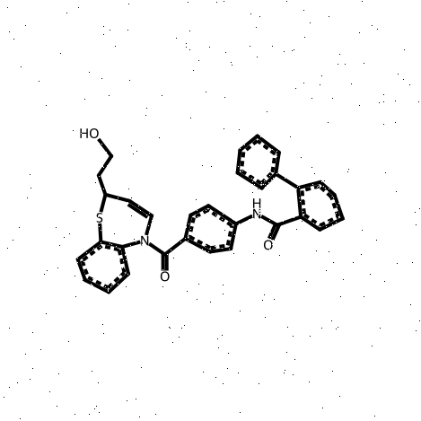 O=C(Nc1ccc(C(=O)N2C=CC(CCO)Sc3ccccc32)cc1)c1ccccc1-c1ccccc1